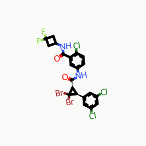 O=C(NC1CC(F)(F)C1)c1cc(NC(=O)[C@@H]2[C@@H](c3cc(Cl)cc(Cl)c3)C2(Br)Br)ccc1Cl